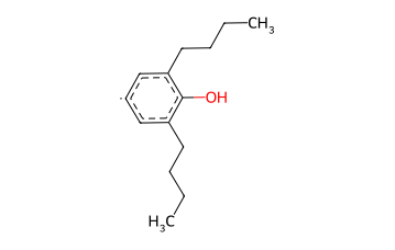 CCCCc1c[c]cc(CCCC)c1O